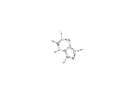 Cc1nc2c(C)cn(C)c2c(C)c1C